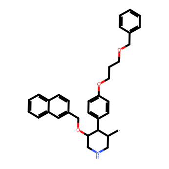 [CH2]C1CNCC(OCc2ccc3ccccc3c2)C1c1ccc(OCCCOCc2ccccc2)cc1